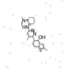 Cc1cc2c(O)c(-c3nnc(N[C@H]4CCCC[C@H]4N(C)I)cc3C)ccc2s1